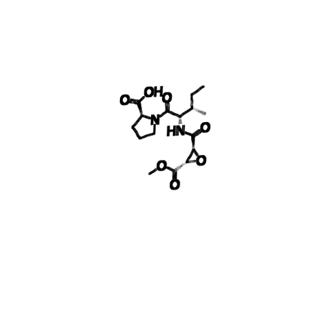 CC[C@H](C)[C@H](NC(=O)[C@H]1O[C@@H]1C(=O)OC)C(=O)N1CCC[C@H]1C(=O)O